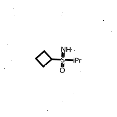 CC(C)S(=N)(=O)C1CCC1